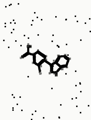 O=C(O)c1ccc(-c2n[nH]c3ccccc23)c(F)c1